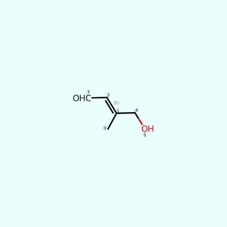 C/C(=C\C=O)CO